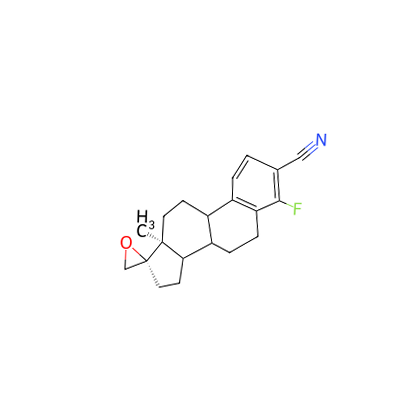 C[C@]12CCC3c4ccc(C#N)c(F)c4CCC3C1CC[C@@]21CO1